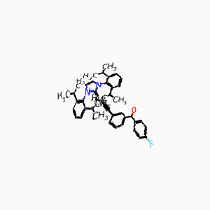 CC(C)c1cccc(C(C)C)c1-n1ccn(-c2c(C(C)C)cccc2C(C)C)[c]1=[Au][C]#Cc1cccc(C(=O)c2ccc(F)cc2)c1